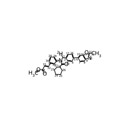 [2H]C(c1ccc(-c2ccc3nc(C)oc3c2)cc1)N(C(=O)C1CCCCC1)c1cccc(/C=C/C(=O)OC)c1